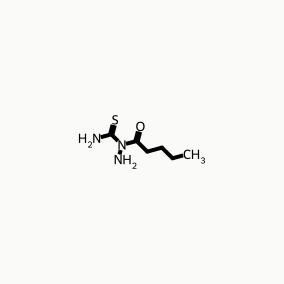 CCCCC(=O)N(N)C(N)=S